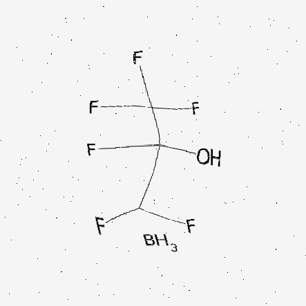 B.OC(F)(C(F)F)C(F)(F)F